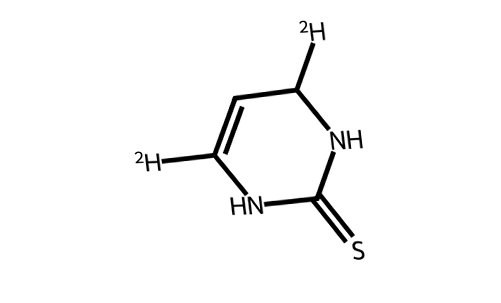 [2H]C1=CC([2H])NC(=S)N1